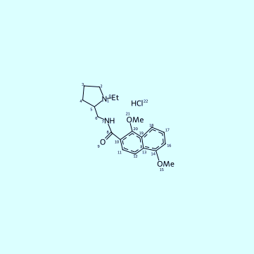 CCN1CCCC1CNC(=O)c1ccc2c(OC)cccc2c1OC.Cl